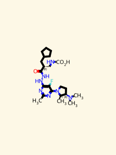 Cc1nc(NNC(=O)[C@@H](CNC(=O)O)CC2CCCC2)c(F)c(N2CC[C@@H](N(C)C)[C@H]2C)n1